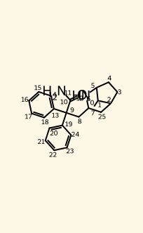 CC1C2CCC1NC(CC(C(N)=O)(c1ccccc1)c1ccccc1)C2